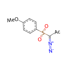 COc1ccc(S(=O)(=O)C(=[N+]=[N-])C(C)=O)cc1